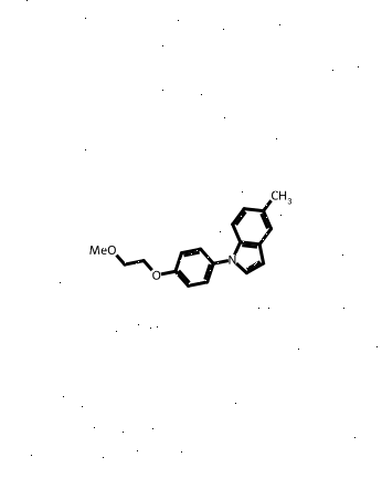 COCCOc1ccc(-n2ccc3cc(C)ccc32)cc1